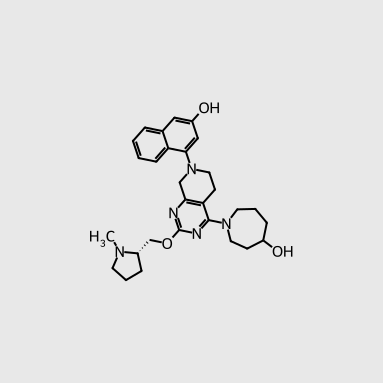 CN1CCC[C@H]1COc1nc2c(c(N3CCCC(O)CC3)n1)CCN(c1cc(O)cc3ccccc13)C2